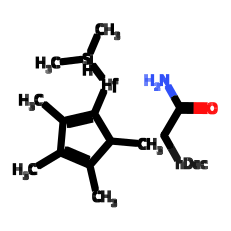 CC1=C(C)C(C)[C]([Hf][SiH](C)C)=C1C.CCCCCCCCCCCC(N)=O